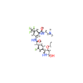 CCOC1=CC(O)NC=C1c1ccc(CC(=O)Nc2cc(C(=O)NCCN(C)C)cc(C(F)(F)F)c2)c(F)c1